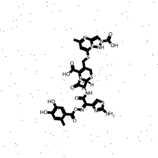 CC1=NC2=CN(C(=O)O)NN2C(SCC2=C(C(=O)O)N3C(=O)[C@@H](NC(=O)/C(=N\OC(=O)c4cc(O)c(O)cc4C)c4csc(N)n4)[C@H]3SC2)=C1